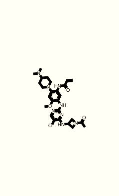 C=CC(=O)Nc1cc(Nc2ncc(Cl)c(NC3CN(C(C)=O)C3)n2)c(OC)cc1N1CCC(N(C)C)CC1